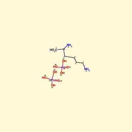 NCCCCC(N)C(=O)O.O=P(O)(O)O.O=P(O)(O)O